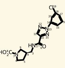 O=C(NC[C@H]1CCN(C(=O)O)C1)c1cnn(-c2cccc(Cl)c2)n1